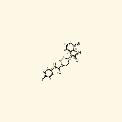 O=C(Nc1ccc(I)cc1)N1CCC(n2c(=O)[nH]c3c(Br)cccc32)CC1